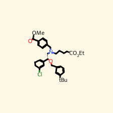 CCOC(=O)CCCCN(Cc1ccc(C(=O)OC)cc1)C[C@H](OCc1cccc(C(C)(C)C)c1)C1=CCCC(Cl)=C1